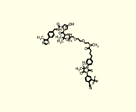 Cc1ncsc1-c1ccc(CNC(=O)[C@@H]2C[C@@H](O)CN2C(=O)[C@@H](NC(=O)COCCOCCN(C)C(=O)CCCc2ccc(N3C(=S)N(c4ccc(C#N)c(C(F)(F)F)c4)C(=O)C3(C)C)cc2)C(C)(C)C)cc1